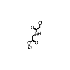 CCOC(=O)CNC(=O)CCl